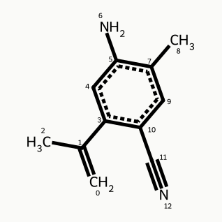 C=C(C)c1cc(N)c(C)cc1C#N